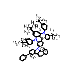 CC(C)(C)c1ccc(N2c3cc(N4c5ccc(-c6ccccc6)cc5C5(C)CCc6ccccc6C45C)ccc3B3c4ccc(C(C)(C)C)cc4N(c4cccc(C(C)(C)C)c4)c4cc(C(C)(C)C)cc2c43)cc1